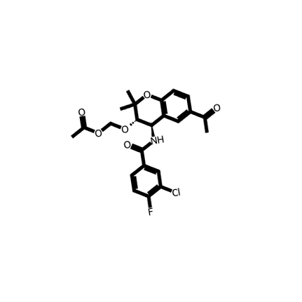 CC(=O)OCO[C@H]1[C@H](NC(=O)c2ccc(F)c(Cl)c2)c2cc(C(C)=O)ccc2OC1(C)C